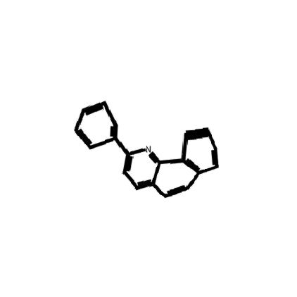 c1ccc2ccc3ccc(-c4ccccc4)nc3c2c#1